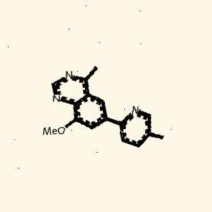 COc1cc(-c2ccc(C)cn2)cc2c(C)ncnc12